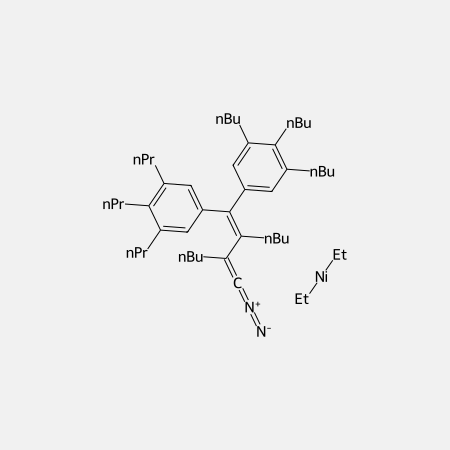 CCCCC(=C=[N+]=[N-])C(CCCC)=C(c1cc(CCC)c(CCC)c(CCC)c1)c1cc(CCCC)c(CCCC)c(CCCC)c1.C[CH2][Ni][CH2]C